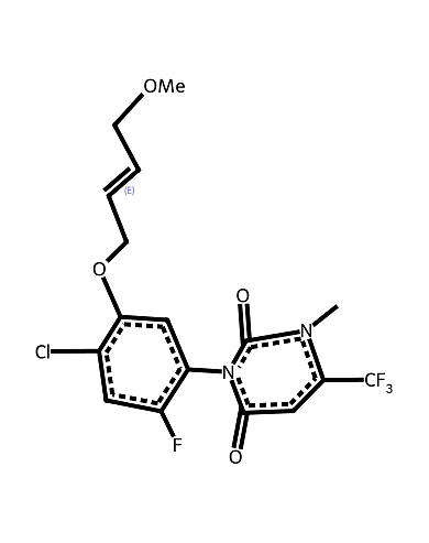 COC/C=C/COc1cc(-n2c(=O)cc(C(F)(F)F)n(C)c2=O)c(F)cc1Cl